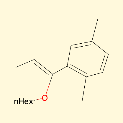 [CH2]CCCCCOC(=CC)c1cc(C)ccc1C